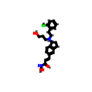 O=C(C=Cc1ccc2c(c1)CCC2N(CCCO)CCc1ccccc1Cl)NO